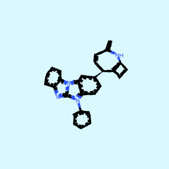 C=C1C=C[C@H](c2ccc3c(c2)n2c4ccccc4nc2n3-c2ccccc2)C2=C(C=C2)N1